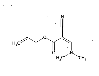 C=CCOC(=O)/C(C#N)=C\N(C)C